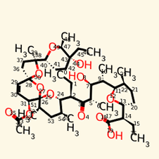 CC[C@@H](C(=O)[C@@H](C)[C@@H](O)[C@H](C)[C@@H]1O[C@@H]([C@@H](CC)C(=O)O)CC[C@@H]1C)[C@H]1O[C@@]2(O[C@]3(C=C[C@@H]2OC(C)=O)CC[C@@](C)([C@H]2CC[C@](O)(CC)[C@H](C)O2)O3)[C@H](C)C[C@@H]1C